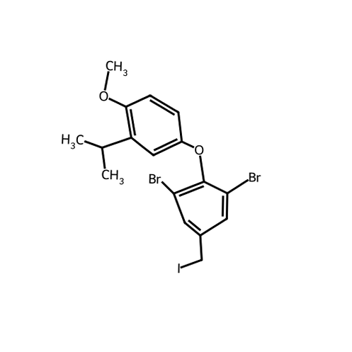 COc1ccc(Oc2c(Br)cc(CI)cc2Br)cc1C(C)C